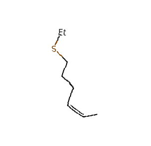 C/C=C\CCCSCC